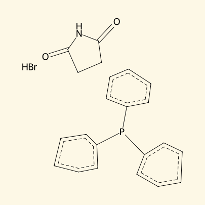 Br.O=C1CCC(=O)N1.c1ccc(P(c2ccccc2)c2ccccc2)cc1